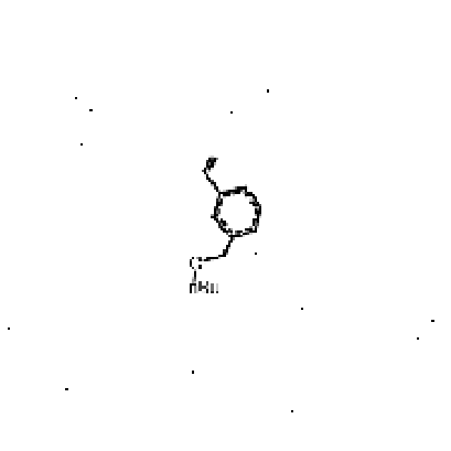 C=Cc1cccc(COCCCC)c1